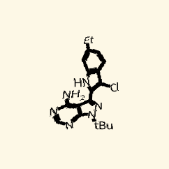 CCc1ccc2c(Cl)c(-c3nn(C(C)(C)C)c4ncnc(N)c34)[nH]c2c1